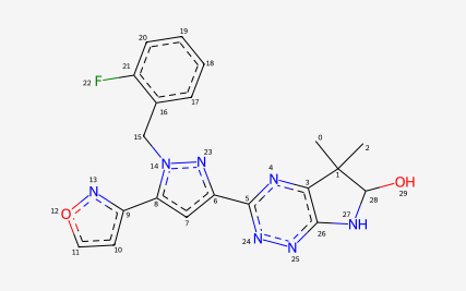 CC1(C)c2nc(-c3cc(-c4ccon4)n(Cc4ccccc4F)n3)nnc2NC1O